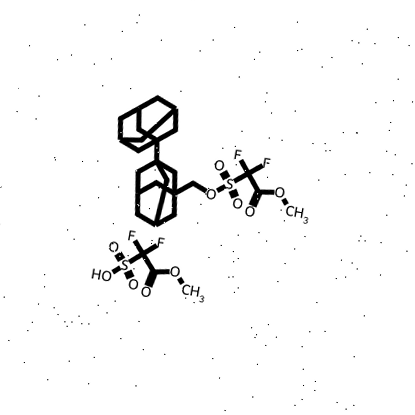 COC(=O)C(F)(F)S(=O)(=O)O.COC(=O)C(F)(F)S(=O)(=O)OCC12CC3CC(C1)CC(C14CC5CC(CC(C5)C1)C4)(C3)C2